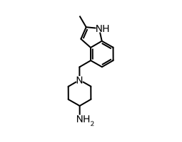 Cc1cc2c(CN3CCC(N)CC3)cccc2[nH]1